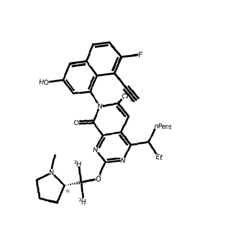 [2H]C([2H])(Oc1nc(C(CC)CCCCC)c2cc(C(F)(F)F)n(-c3cc(O)cc4ccc(F)c(C#C)c34)c(=O)c2n1)[C@@H]1CCCN1C